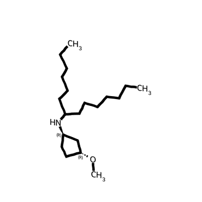 CCCCCCCC(CCCCCC)N[C@@H]1CC[C@@H](OC)C1